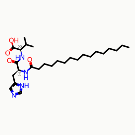 CCCCCCCCCCCCCCCC(=O)N[C@@H](Cc1cnc[nH]1)C(=O)N[C@@H](C(=O)O)C(C)C